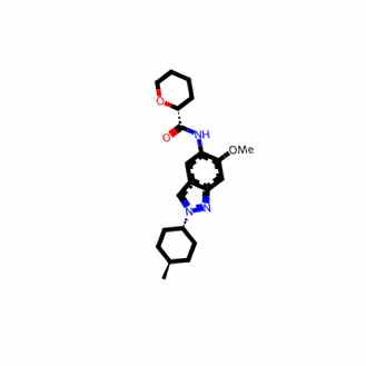 COc1cc2nn([C@H]3CC[C@H](C)CC3)cc2cc1NC(=O)[C@H]1CCCCO1